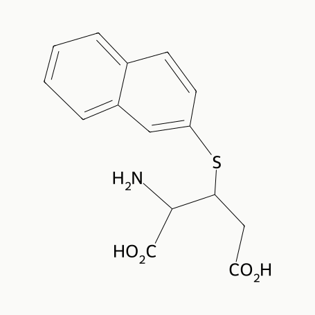 NC(C(=O)O)C(CC(=O)O)Sc1ccc2ccccc2c1